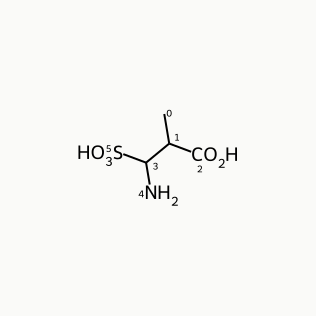 CC(C(=O)O)C(N)S(=O)(=O)O